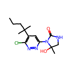 CCCC(C)(C)c1cc(N2C(=O)NCC2(C)O)nnc1Cl